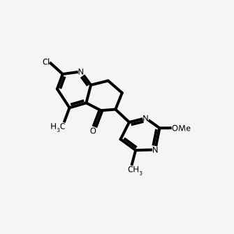 COc1nc(C)cc(C2CCc3nc(Cl)cc(C)c3C2=O)n1